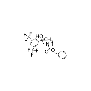 C[C@@](O)(CNC(=O)OCc1ccccc1)c1cc(C(F)(F)F)cc(C(F)(F)F)c1